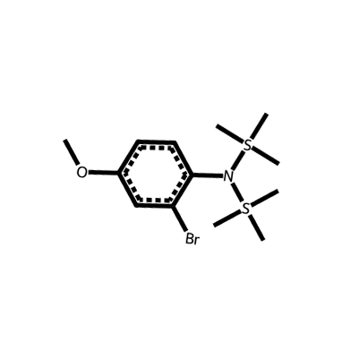 COc1ccc(N(S(C)(C)C)S(C)(C)C)c(Br)c1